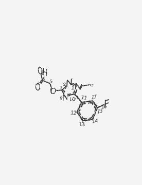 Cn1nc(OCC(=O)O)nc1-c1cccc(F)c1